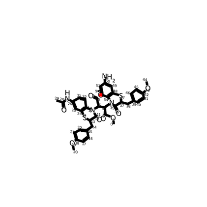 COC(=O)C(C(C(=O)OC)N1C(=O)C(Cc2ccc(OC)cc2)Sc2cc(NC(C)=O)ccc21)N1C(=O)C(Cc2ccc(OC)cc2)Sc2cc(N)ccc21